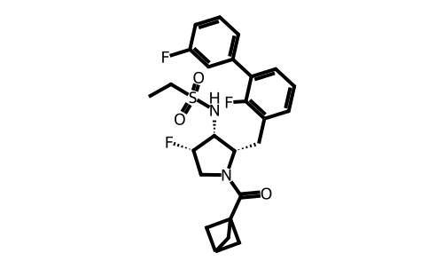 CCS(=O)(=O)N[C@H]1[C@@H](F)CN(C(=O)C23CC(C2)C3)[C@H]1Cc1cccc(-c2cccc(F)c2)c1F